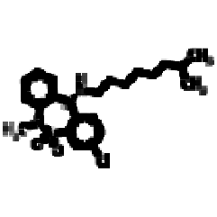 CC(C)CCCCCCN[C@H]1c2ccccc2N(C)S(=O)(=O)c2cc(Cl)ccc21